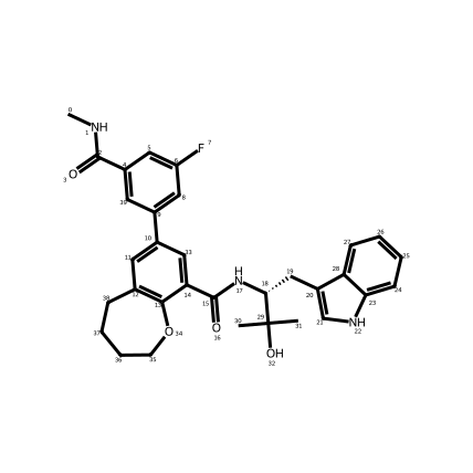 CNC(=O)c1cc(F)cc(-c2cc3c(c(C(=O)N[C@H](Cc4c[nH]c5ccccc45)C(C)(C)O)c2)OCCCC3)c1